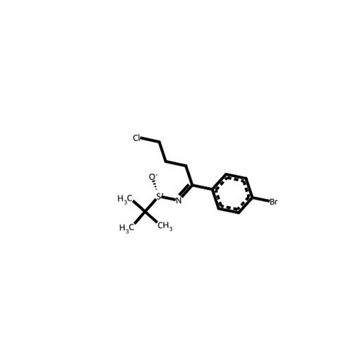 CC(C)(C)[S@+]([O-])N=C(CCCCl)c1ccc(Br)cc1